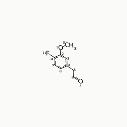 COc1cc(CC=O)ccc1F